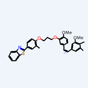 COc1ccc(/C=C\c2cc(C)c(C)c(OC)c2)cc1OCCCOc1ccc(-c2nc3ccccc3s2)cc1C